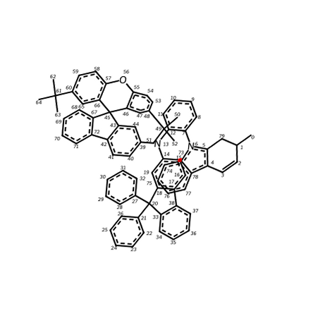 CC1C=Cc2c(n(-c3ccccc3N(c3ccc4c(c3)C(c3ccccc3)(c3ccccc3)c3ccccc3-4)c3ccc4c(c3)C3(c5cc(C(C)(C)C)ccc5Oc5ccc(C(C)(C)C)cc53)c3ccccc3-4)c3ccccc23)C1